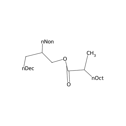 CCCCCCCCCCCC(CCCCCCCCC)COC(=O)C(C)CCCCCCCC